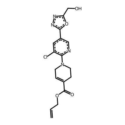 C=CCOC(=O)C1=CCN(c2ncc(-c3nnc(CO)o3)cc2Cl)CC1